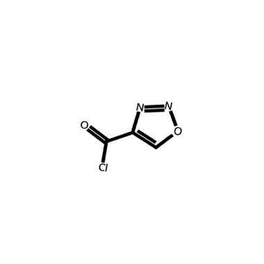 O=C(Cl)c1conn1